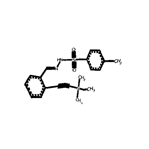 Cc1ccc(S(=O)(=O)NN=Cc2ccccc2C#C[Si](C)(C)C)cc1